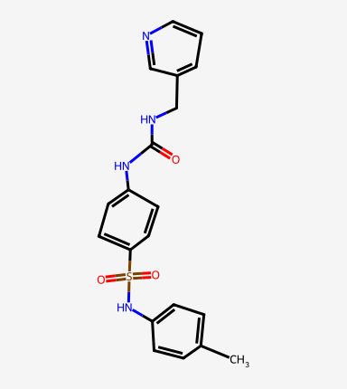 Cc1ccc(NS(=O)(=O)c2ccc(NC(=O)NCc3cccnc3)cc2)cc1